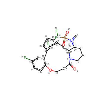 C=[N+]([C@H]1CCCN2C(=O)CCOc3ccc(F)cc3-c3cccc(c3F)C[C@@H]12)S(=O)(=O)C(F)F